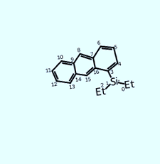 CC[Si](CC)c1cccc2cc3ccccc3cc12